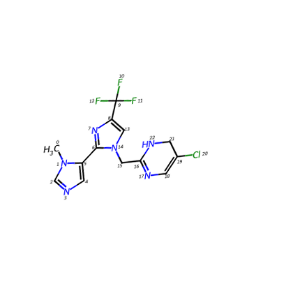 Cn1cncc1-c1nc(C(F)(F)F)cn1CC1=NC=C(Cl)CN1